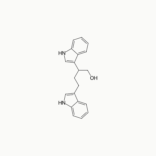 OCC(CCc1c[nH]c2ccccc12)c1c[nH]c2ccccc12